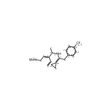 C=C/C(=C\CNC)C(C)NC(Cc1ccc(C(F)(F)F)cc1)=C1CC1